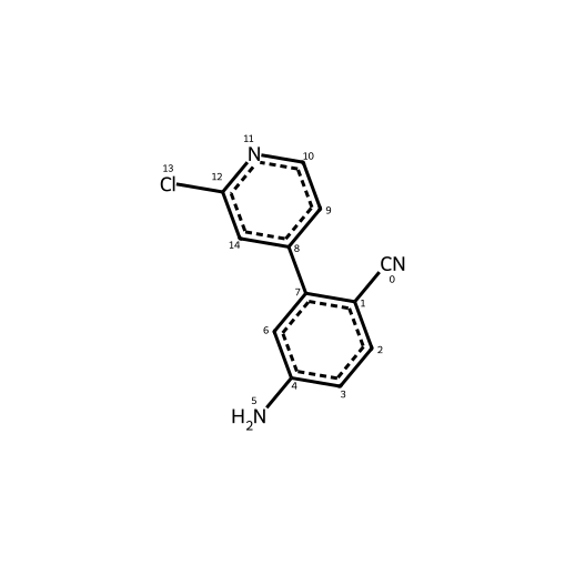 N#Cc1ccc(N)cc1-c1ccnc(Cl)c1